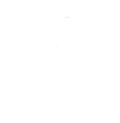 COC(=O)C1C(CC=Cc2ccccc2)C1(C)C